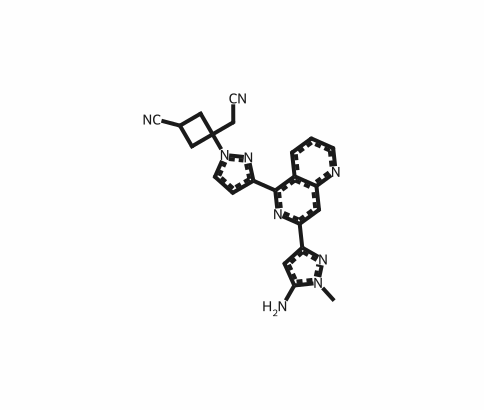 Cn1nc(-c2cc3ncccc3c(-c3ccn(C4(CC#N)CC(C#N)C4)n3)n2)cc1N